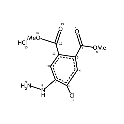 COC(=O)c1cc(Cl)c(NN)cc1C(=O)OC.Cl